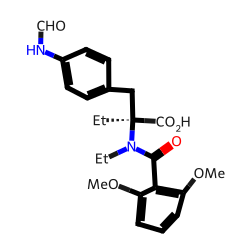 CCN(C(=O)c1c(OC)cccc1OC)[C@@](CC)(Cc1ccc(NC=O)cc1)C(=O)O